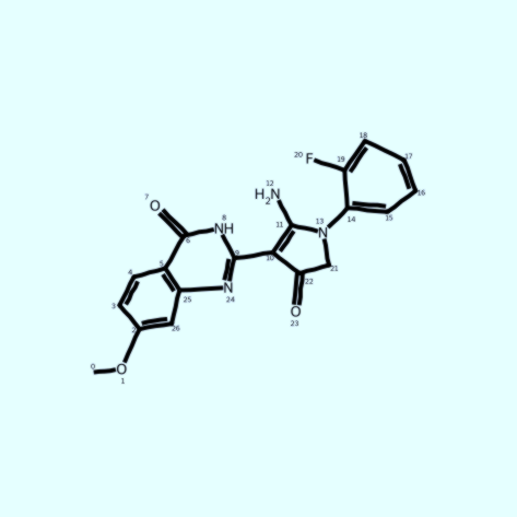 COc1ccc2c(=O)[nH]c(C3=C(N)N(c4ccccc4F)CC3=O)nc2c1